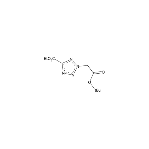 CCOC(=O)c1nnn(CC(=O)OC(C)(C)C)n1